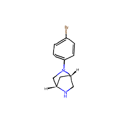 Brc1ccc(N2C[C@@H]3C[C@H]2CN3)cc1